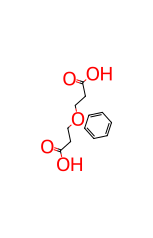 O=C(O)CCOCCC(=O)O.c1ccccc1